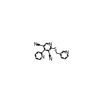 N#Cc1cnc(SCc2cccnc2)c(C#N)c1-c1ccccn1